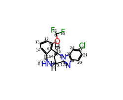 C[C@H]1N[C@@H]2C[C@H](c3c(OC(F)F)cccc31)n1c2nc2ccc(Cl)cc21